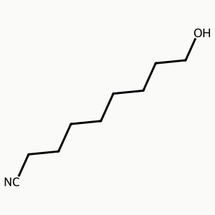 N#CCCCCCCCCO